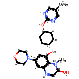 COc1cnc(O[C@H]2CC[C@@H](Oc3cc(N4CCOCC4)cc4c3N(C)C(O)C=N4)CC2)nc1